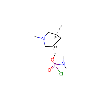 C[C@@H]1C[C@H](COP(=O)(Cl)N(C)C)CN(C)C1